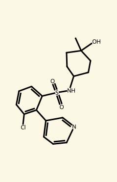 CC1(O)CCC(NS(=O)(=O)c2cccc(Cl)c2-c2cccnc2)CC1